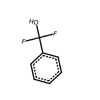 OC(F)(F)c1cc[c]cc1